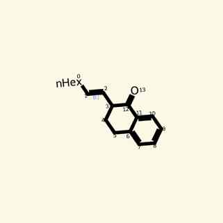 CCCCCC/C=C/C1CCc2ccccc2C1=O